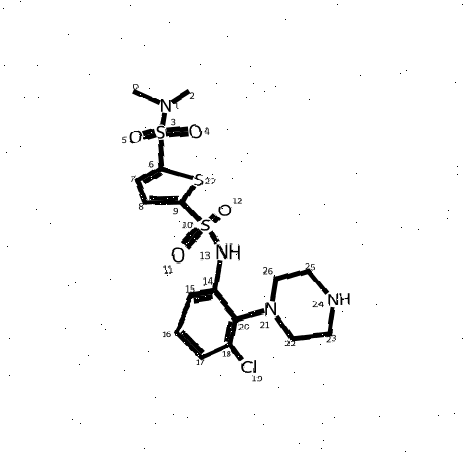 CN(C)S(=O)(=O)c1ccc(S(=O)(=O)Nc2cccc(Cl)c2N2CCNCC2)s1